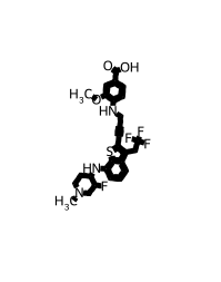 COc1cc(C(=O)O)ccc1NCC#Cc1sc2c(NC3CCN(C)CC3F)cccc2c1CC(F)(F)F